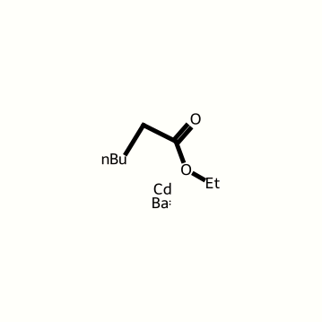 CCCCCC(=O)OCC.[Ba].[Cd]